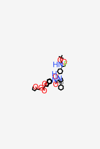 CC(C)(C)OC(=O)NC(CF)[C@H]1CC[C@H](C(=O)N2CC[C@@H](C3CCCCC3)[C@H]2C(=O)Nc2ccc3oc(C(=O)OCC4CCCO4)cc3c2)CC1